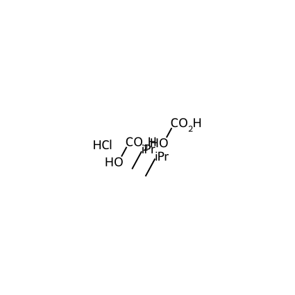 CC(C)C.CC(C)C.Cl.O=C(O)O.O=C(O)O